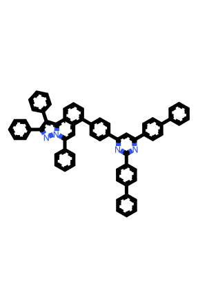 c1ccc(-c2ccc(-c3cc(-c4ccc(-c5cccc6c5cc(-c5ccccc5)n5nc(-c7ccccc7)c(-c7ccccc7)c65)cc4)nc(-c4ccc(-c5ccccc5)cc4)n3)cc2)cc1